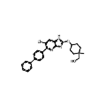 CC1(CO)CCC(Oc2nc3nc(-c4ccc(-c5ccccc5)cc4)c(Cl)cc3[nH]2)CC1